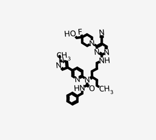 CCC/C(CCCNc1ncc(C#N)c(N2CCC(F)(CO)CC2)n1)=[N+](\C(=O)NCc1ccccc1)c1ccc(-c2cnn(C)c2)cn1